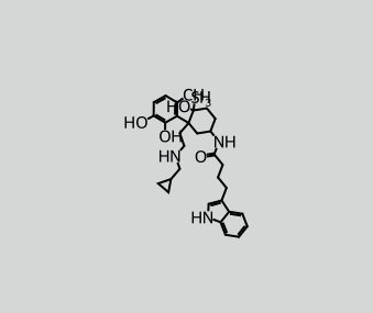 Cc1ccc(O)c(O)c1C1(CCNCC2CC2)CC(NC(=O)CCCc2c[nH]c3ccccc23)CCC1(O)S